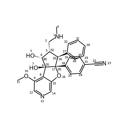 CNC[C@H]1[C@@H](O)[C@@]2(O)c3c(OC)cncc3O[C@@]2(c2ccc(C#N)cc2)[C@@H]1c1ccccc1